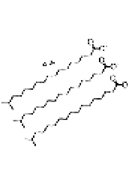 CC(C)CCCCCCCCCCCCCCC(=O)[O-].CC(C)CCCCCCCCCCCCCCC(=O)[O-].CC(C)CCCCCCCCCCCCCCC(=O)[O-].[Al+3]